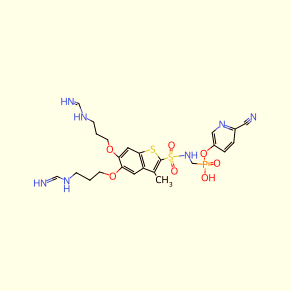 Cc1c(S(=O)(=O)NCP(=O)(O)Oc2ccc(C#N)nc2)sc2cc(OCCCNC=N)c(OCCCNC=N)cc12